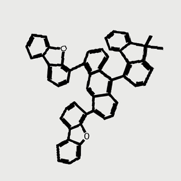 CC1(C)c2ccccc2-c2c(-c3c4cccc(-c5cccc6c5oc5ccccc56)c4cc4c(-c5cccc6c5oc5ccccc56)cccc34)cccc21